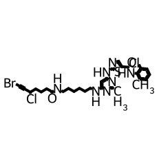 Cc1nc(NCCCCCCNC(=O)CCCC(Cl)C#CBr)cc(Nc2ncc(C(=O)Nc3c(C)cccc3Cl)s2)n1